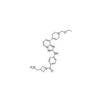 CCOCN1CC=C(c2cccn3nc(Nc4ccc(C(=O)N5CC(CN)C5)cc4)nc23)CC1